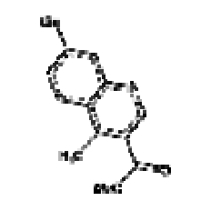 COC(=O)c1cnc2cc(C(C)(C)C)ccc2c1C